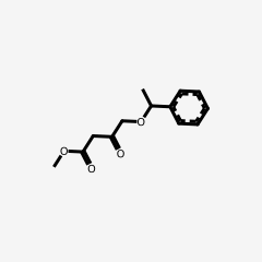 COC(=O)CC(=O)COC(C)c1ccccc1